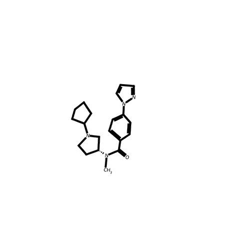 CN(C(=O)c1ccc(-n2cccn2)cc1)[C@@H]1CCN(C2CCCC2)C1